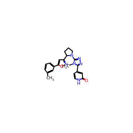 Cc1cccc(-c2cc(C3CCCN3c3nnc(-c4cc[nH]c(=O)c4)n3C)no2)c1